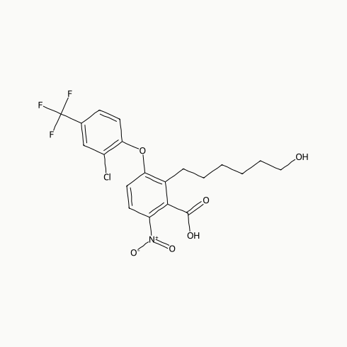 O=C(O)c1c([N+](=O)[O-])ccc(Oc2ccc(C(F)(F)F)cc2Cl)c1CCCCCCO